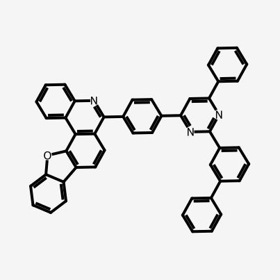 c1ccc(-c2cccc(-c3nc(-c4ccccc4)cc(-c4ccc(-c5nc6ccccc6c6c5ccc5c7ccccc7oc56)cc4)n3)c2)cc1